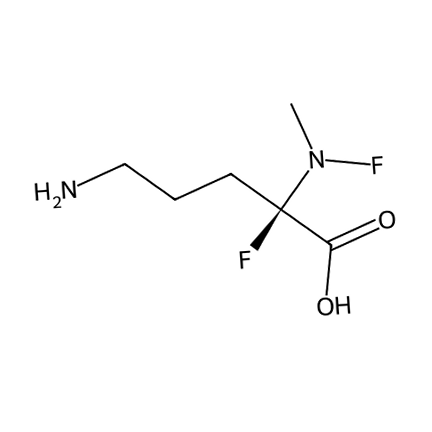 CN(F)[C@@](F)(CCCN)C(=O)O